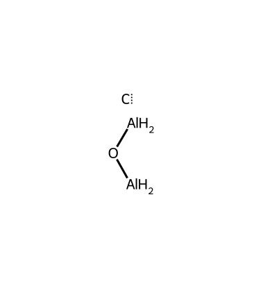 [AlH2][O][AlH2].[C]